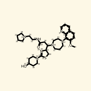 COc1ccc2cccnc2c1N1CCCN(C(CC(=O)NCCN2CCCC2)C2CSC(N3CCC(O)CC3)=N2)CC1